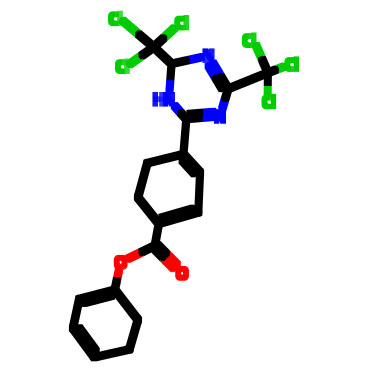 O=C(OC1=CC=CCC1)C1=CC=C(C2=NC(C(Cl)(Cl)Cl)=NC(C(Cl)(Cl)Cl)N2)CC1